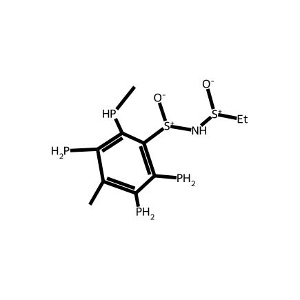 CC[S+]([O-])N[S+]([O-])c1c(P)c(P)c(C)c(P)c1PC